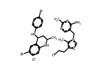 CC1CC(Nc2ccc(Br)cc2)c2cc(Br)ccc2N1.Cc1ncc(C[n+]2csc(CCCl)c2C)c(N)n1.[Cl-]